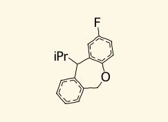 CC(C)C1c2ccccc2COc2ccc(F)cc21